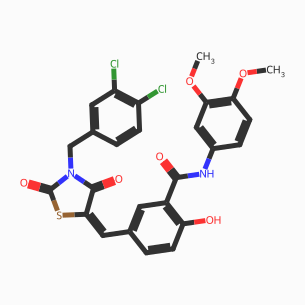 COc1ccc(NC(=O)c2cc(C=C3SC(=O)N(Cc4ccc(Cl)c(Cl)c4)C3=O)ccc2O)cc1OC